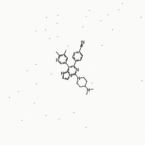 Cc1cc(-c2c(-c3ccc(C#N)cc3)nc(N3CCC(N(C)C)CC3)n3ccnc23)cnc1C